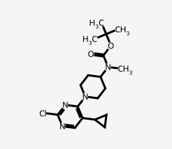 CN(C(=O)OC(C)(C)C)C1CCN(c2nc(Cl)ncc2C2CC2)CC1